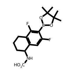 CC1(C)OB(c2c(F)cc3c(c2F)CCCC3NC(=O)O)OC1(C)C